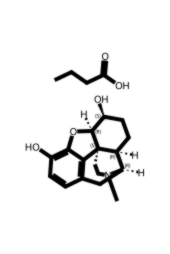 CCCC(=O)O.CN1CC[C@]23c4c5ccc(O)c4O[C@H]2[C@@H](O)CC[C@H]3[C@H]1C5